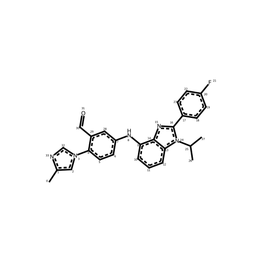 Cc1cn(-c2ccc(Nc3cccc4c3nc(-c3ccc(F)cc3)n4C(C)C)cc2C=O)cn1